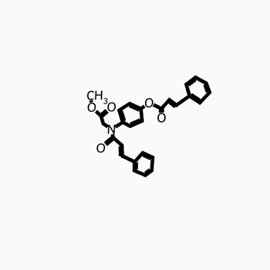 COC(=O)CN(C(=O)C=Cc1ccccc1)c1ccc(OC(=O)C=Cc2ccccc2)cc1